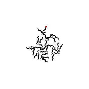 CCCC[Si](C)(CCCC)CCC[Si](C)(CCC[Si](C)(CCCC)CCCC)CCC[Si](CCC[Si](C)(CCC[Si](C)(CCCC)CCCC)CCC[Si](C)(CCCC)CCCC)(CCC[Si](C)(CCC[Si](C)(CCCC)CCCC)CCC[Si](C)(CCCC)CCCC)CCC[Si](C)(CCC[Si](C)(CCCC)CCCC)CCC[Si](C)(CCCC)CCCC